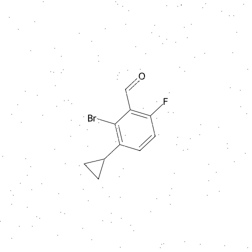 O=Cc1c(F)ccc(C2CC2)c1Br